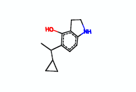 CC(c1ccc2c(c1O)CCN2)C1CC1